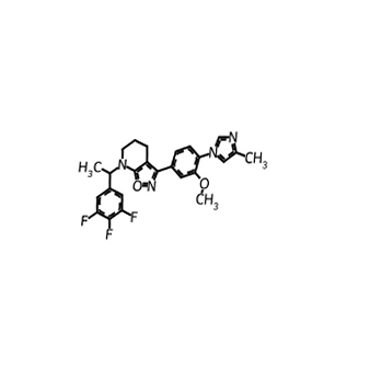 COc1cc(-c2noc3c2CCCN3C(C)c2cc(F)c(F)c(F)c2)ccc1-n1cnc(C)c1